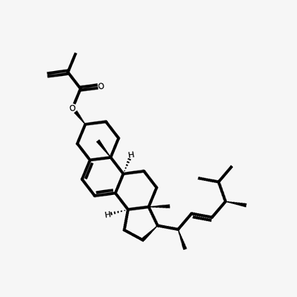 C=C(C)C(=O)O[C@H]1CC[C@@]2(C)C(=CC=C3[C@@H]4CC[C@H]([C@H](C)/C=C/[C@H](C)C(C)C)[C@@]4(C)CC[C@@H]32)C1